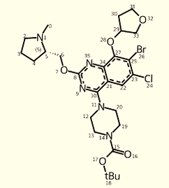 CN1CCC[C@H]1COc1nc(N2CCN(C(=O)OC(C)(C)C)CC2)c2cc(Cl)c(Br)c(OC3CCOC3)c2n1